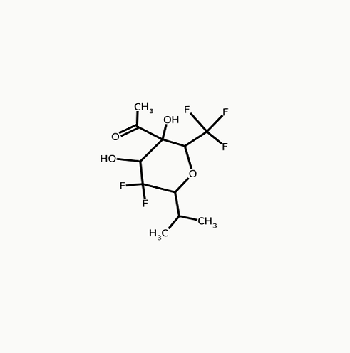 CC(=O)C1(O)C(C(F)(F)F)OC(C(C)C)C(F)(F)C1O